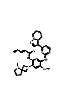 C=C/C=C/C(=O)Nc1cc(Nc2nccc(-c3cnn4c3CCCC4)n2)c(OC)cc1N1CC2(CCCN2C)C1